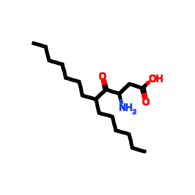 CCCCCCCC(CCCCCC)C(=O)C(N)CC(=O)O